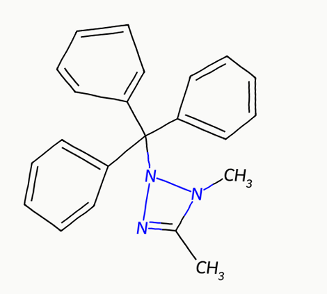 Cc1nn(C(c2ccccc2)(c2ccccc2)c2ccccc2)n1C